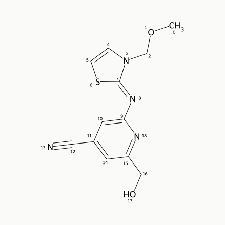 COCn1ccs/c1=N\c1cc(C#N)cc(CO)n1